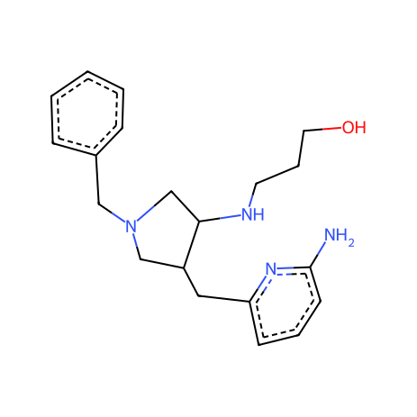 Nc1cccc(CC2CN(Cc3ccccc3)CC2NCCCO)n1